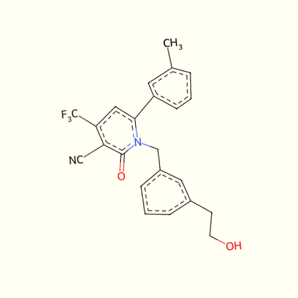 Cc1cccc(-c2cc(C(F)(F)F)c(C#N)c(=O)n2Cc2cccc(CCO)c2)c1